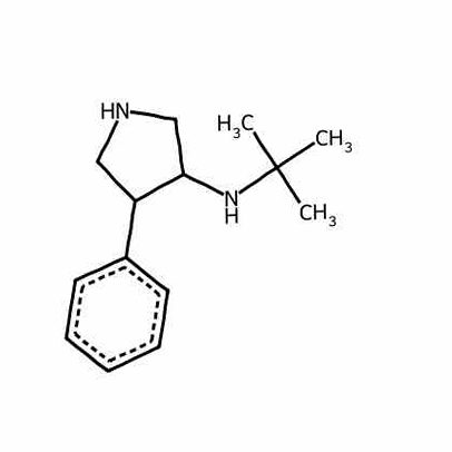 CC(C)(C)NC1CNCC1c1ccccc1